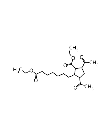 CCOC(=O)CCCCCCC1C(C(C)=O)CC(C(C)=O)C1C(=O)OCC